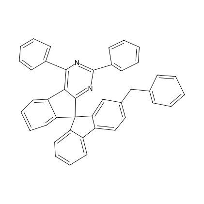 c1ccc(Cc2ccc3c(c2)C2(c4ccccc4-3)c3ccccc3-c3c(-c4ccccc4)nc(-c4ccccc4)nc32)cc1